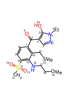 CCn1ncc(C(=O)c2ccc(S(C)(=O)=O)c(NCCOC)c2CSC)c1O